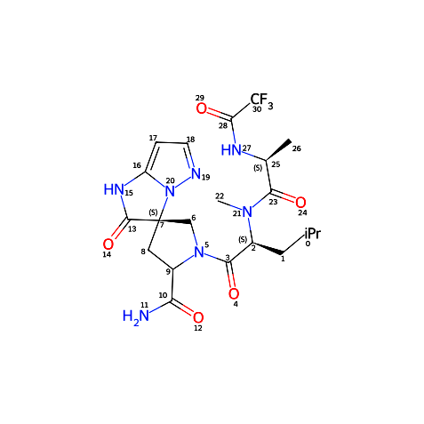 CC(C)C[C@@H](C(=O)N1C[C@@]2(CC1C(N)=O)C(=O)Nc1ccnn12)N(C)C(=O)[C@H](C)NC(=O)C(F)(F)F